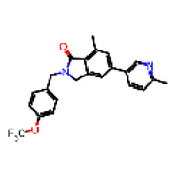 Cc1ccc(-c2cc(C)c3c(c2)CN(Cc2ccc(OC(F)(F)F)cc2)C3=O)cn1